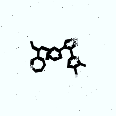 C=c1ccc(-c2c[nH]nc2-c2ccc(F)c(C)n2)c/c1=C/C(=C\C)C1=CCC=CN=C1